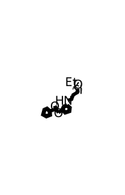 CCO[Si](C)(C)CCCNc1cccc(OC(=O)c2ccccc2)c1